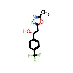 Cc1nnc(C[C@@H](O)c2ccc(C(F)(F)F)cc2)o1